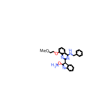 COCCOc1cccc2c(NCc3ccccc3)nc(C3C(ON)=Nc4ccccc43)nc12